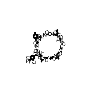 CC[C@H](C)[C@@H]1NC(=O)[C@H](C)N(C)C(=O)C[C@@H](C)N(C)C(=O)[C@H](CC(C)C)NC(=O)C(C)(C)N(C)C(=O)[C@H](CC(C)C)NC(=O)[C@H](CCc2ccc(C(F)(F)F)c(Cl)c2)NC(=O)CN(C)C(=O)[C@H](Cc2ccc(C)cc2)N(C)C(=O)CN(C)C(=O)CN(C)C1=O